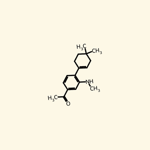 CNc1cc(C(C)=O)ccc1C1=CCC(C)(C)CC1